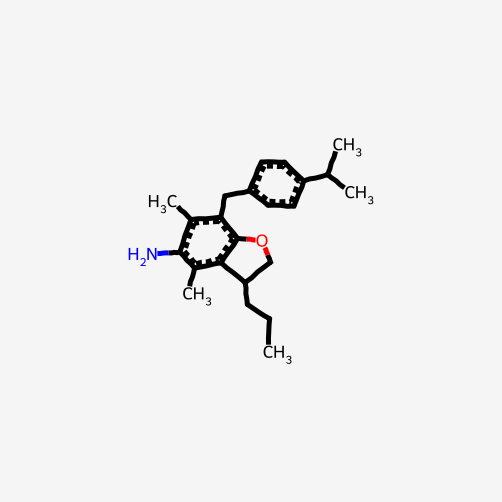 CCCC1COc2c(Cc3ccc(C(C)C)cc3)c(C)c(N)c(C)c21